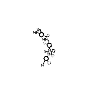 N#Cc1ccc(N2C(=O)C3(CCC3)N(c3ccc(CNC(=O)c4ccc5[nH]ncc5c4)c(F)c3)C2=S)cc1Cl